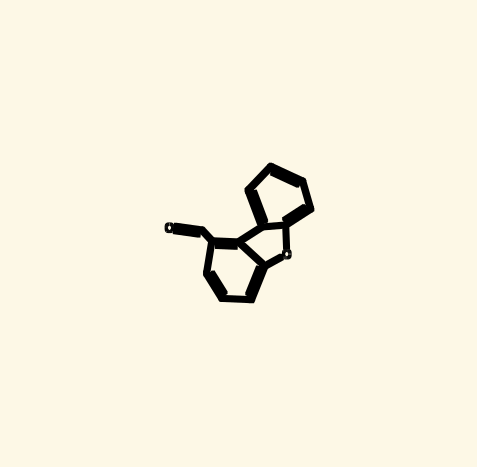 O=Cc1cccc2oc3ccccc3c12